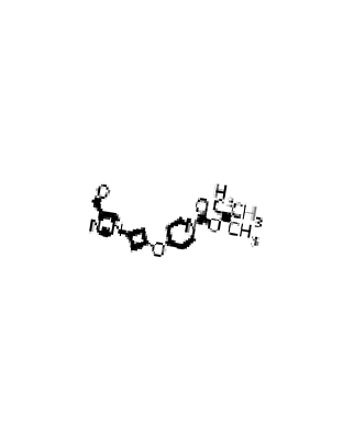 CC(C)(C)OC(=O)N1CCC(O[C@H]2C[C@H](n3cnc(C=O)c3)C2)CC1